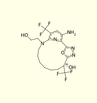 Nc1cc(C(F)(F)F)c2nc1-c1nnc(o1)[C@@](O)(C(F)(F)F)CCCCCCN2CCO